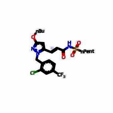 CCCCCS(=O)(=O)NC(=O)/C=C/c1cc(OCCCC)nn1Cc1ccc(C(F)(F)F)cc1Cl